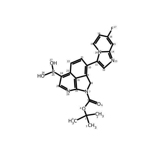 CC(C)(C)OC(=O)N1Cc2c(-c3cnc4cc(F)ccn34)ccc3c(B(O)O)cnc1c23